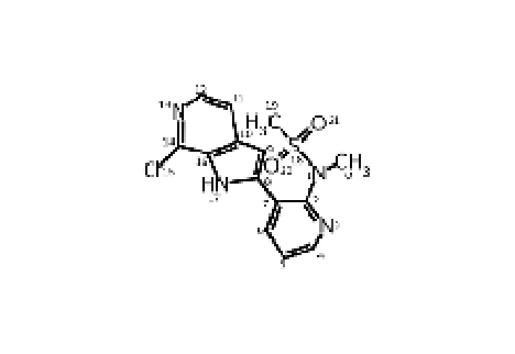 CN(c1ncccc1-c1cc2ccnc(Cl)c2[nH]1)S(C)(=O)=O